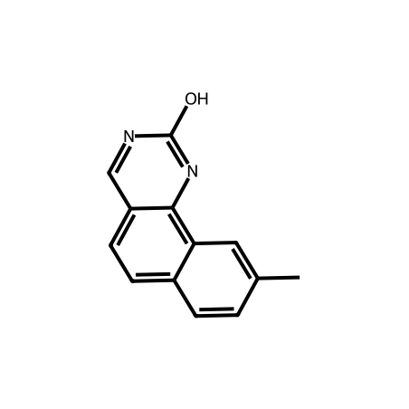 Cc1ccc2ccc3cnc(O)nc3c2c1